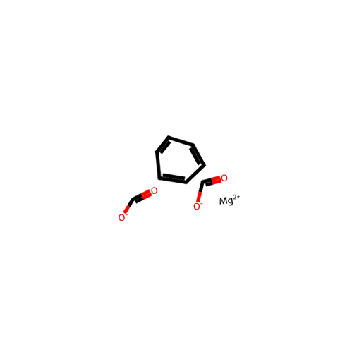 O=C[O-].O=C[O-].[Mg+2].c1ccccc1